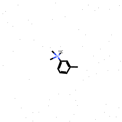 Cc1cccc([N+](C)(C)[11CH3])c1